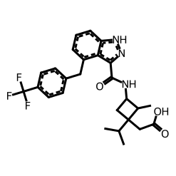 CC(C)C1(CC(=O)O)CC(NC(=O)c2n[nH]c3cccc(Cc4ccc(C(F)(F)F)cc4)c23)C1C